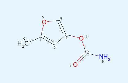 Cc1cc(OC(N)=O)co1